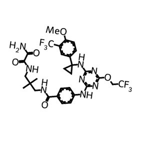 COc1ccc(C2(Nc3nc(Nc4ccc(C(=O)NCC(C)(C)CNC(=O)C(N)=O)cc4)nc(OCC(F)(F)F)n3)CC2)cc1C(F)(F)F